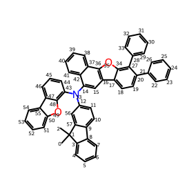 CC1(C)c2ccccc2-c2ccc(N(c3cc4c5ccc(-c6ccccc6)c(-c6ccccc6)c5oc4c4ccccc34)c3cccc4c3oc3ccccc34)cc21